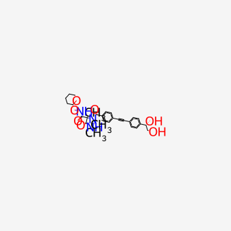 CNC(=O)C(C)(C(=O)NOC1CCCCO1)N(C)C(=O)c1ccc(C#Cc2ccc([C@H](O)CO)cc2)cc1